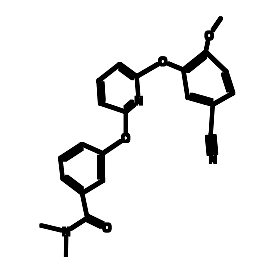 COc1ccc(C#N)cc1Oc1cccc(Oc2cccc(C(=O)N(C)C)c2)n1